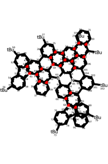 CC(C)(C)c1cc(-c2cc3c4c(c2)N(c2c(-c5cccc(-c6ccccc6)c5)cc(C(C)(C)C)cc2-c2cccc(-c5ccccc5)c2)c2cc(-n5c6ccc(C(C)(C)C)cc6c6cc(C(C)(C)C)ccc65)ccc2B4c2ccc(-n4c5ccc(C(C)(C)C)cc5c5cc(C(C)(C)C)ccc54)cc2N3c2c(-c3cccc(-c4ccccc4)c3)cc(C(C)(C)C)cc2-c2cccc(-c3ccccc3)c2)cc(C(C)(C)C)c1